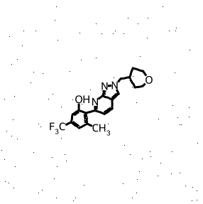 Cc1cc(C(F)(F)F)cc(O)c1-c1ccc2cn(CC3CCOCC3)nc2n1